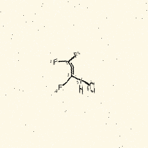 FC(F)=C(F)[IH]Cl